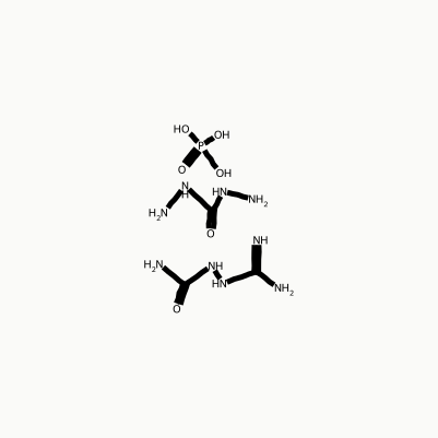 N=C(N)NNC(N)=O.NNC(=O)NN.O=P(O)(O)O